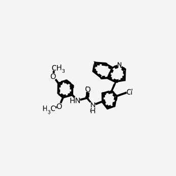 COc1ccc(NC(=O)Nc2ccc(Cl)c(-c3ccnc4ccccc34)c2)c(OC)c1